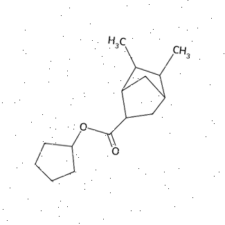 CC1C2CC(C(=O)OC3CCCC3)C(C2)C1C